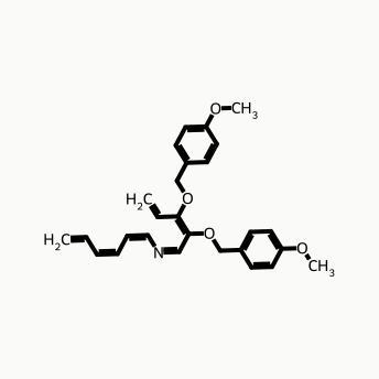 C=C\C=C/C=C\N=C/C(OCc1ccc(OC)cc1)=C(\C=C)OCc1ccc(OC)cc1